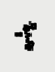 Cl.Cl.Fc1ccccc1-c1cncc(CNCCOc2cccc3[nH]ccc23)c1